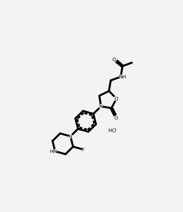 CC(=O)NCC1CN(c2ccc(N3CCNCC3F)cc2)C(=O)O1.Cl